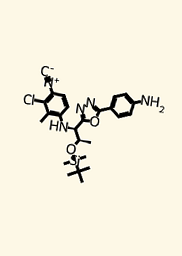 [C-]#[N+]c1ccc(N[C@@H](c2nnc(-c3ccc(N)cc3)o2)[C@@H](C)O[Si](C)(C)C(C)(C)C)c(C)c1Cl